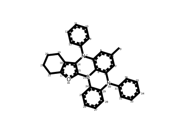 Cc1cc2c3c(c1)N(c1ccccc1)c1c(oc4c1CCCC4)B3c1ccccc1N2c1ccccc1